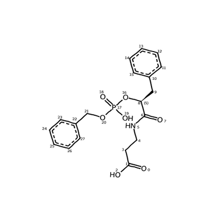 O=C(O)CCNC(=O)[C@H](Cc1ccccc1)OP(=O)(O)OCc1ccccc1